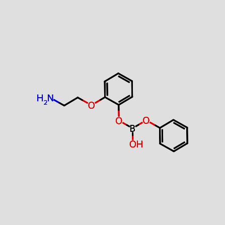 NCCOc1ccccc1OB(O)Oc1ccccc1